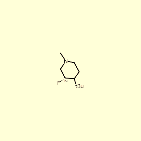 CN1CCC(C(C)(C)C)[C@H](F)C1